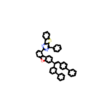 C(=C(/c1cccc(-c2ccccc2)c1)c1ccc2c(c1)oc1cccc(-c3nc(-c4ccccc4)c4sc5ccccc5c4n3)c12)/c1ccc(-c2ccccc2)cc1